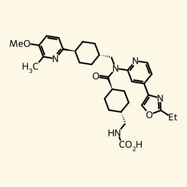 CCc1nc(-c2ccnc(N(C[C@H]3CC[C@H](c4ccc(OC)c(C)n4)CC3)C(=O)[C@H]3CC[C@H](CNC(=O)O)CC3)c2)co1